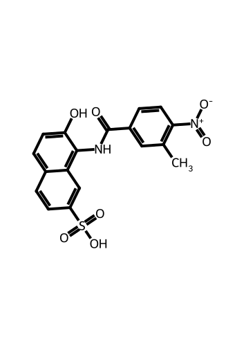 Cc1cc(C(=O)Nc2c(O)ccc3ccc(S(=O)(=O)O)cc23)ccc1[N+](=O)[O-]